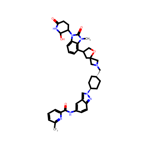 Cn1c(=O)n(C2CCC(=O)NC2O)c2cccc(C3COC4(C3)CN(C[C@H]3CC[C@H](n5cc6cc(NC(=O)c7cccc(C(F)(F)F)n7)ccc6n5)CC3)C4)c21